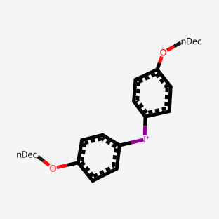 CCCCCCCCCCOc1ccc([I+]c2ccc(OCCCCCCCCCC)cc2)cc1